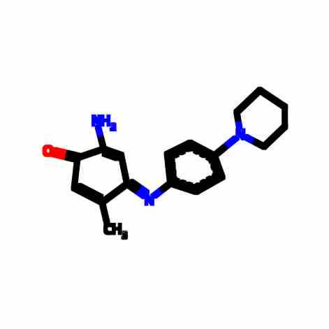 CC1=CC(=O)C(N)=CC1=Nc1ccc(N2CCCCC2)cc1